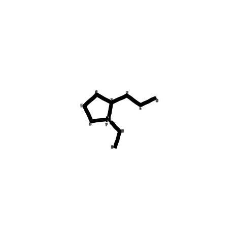 CCCC1CCCN1CC